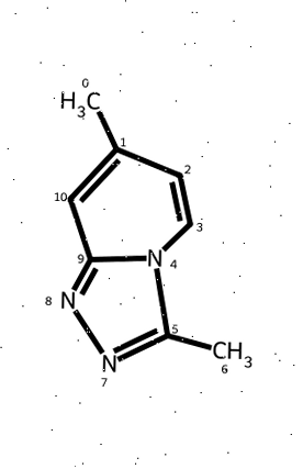 Cc1ccn2c(C)nnc2c1